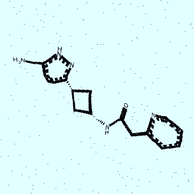 Nc1cc([C@H]2C[C@@H](NC(=O)Cc3ccccn3)C2)n[nH]1